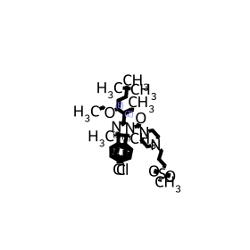 C/C=C(C1=N[C@@](C)(c2ccc(Cl)cc2)[C@@](C)(c2ccc(Cl)cc2)N1C(=O)N1CCN(CCCS(C)(=O)=O)CC1)\C(=C/CC(C)(C)C)OCC